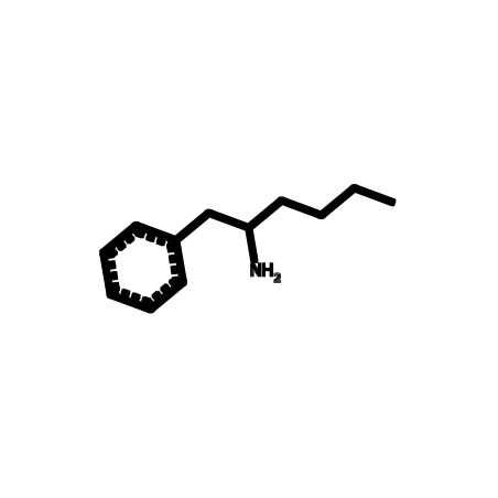 CCCCC(N)Cc1ccccc1